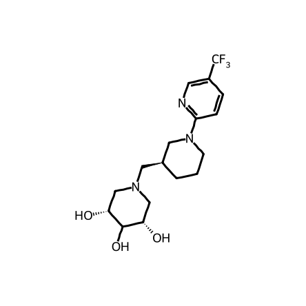 OC1[C@H](O)CN(C[C@@H]2CCCN(c3ccc(C(F)(F)F)cn3)C2)C[C@@H]1O